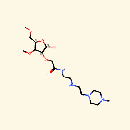 B[C@@H]1O[C@H](COC)C(OC)[C@@H]1OCC(=O)NCCNCCN1CCN(C)CC1